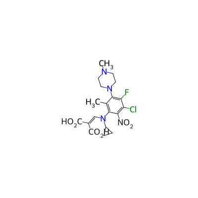 Cc1c(N2CCN(C)CC2)c(F)c(Cl)c([N+](=O)[O-])c1N(C=C(C(=O)O)C(=O)O)C1CC1